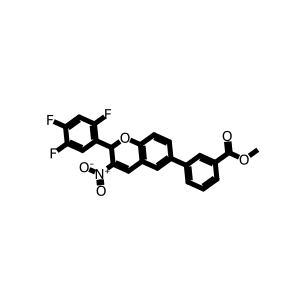 COC(=O)c1cccc(-c2ccc3c(c2)C=C([N+](=O)[O-])C(c2cc(F)c(F)cc2F)O3)c1